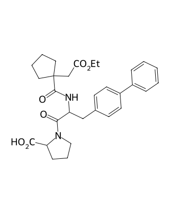 CCOC(=O)CC1(C(=O)NC(Cc2ccc(-c3ccccc3)cc2)C(=O)N2CCCC2C(=O)O)CCCC1